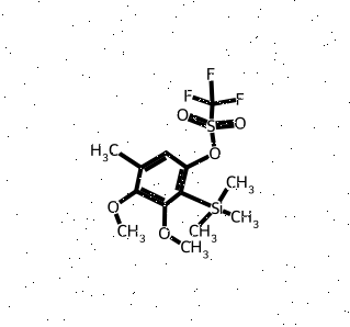 COc1c(C)cc(OS(=O)(=O)C(F)(F)F)c([Si](C)(C)C)c1OC